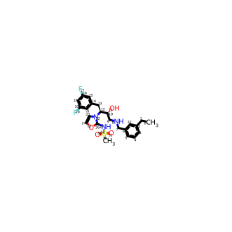 CCc1cccc(CNC[C@@H](O)[C@H](Cc2cc(F)cc(F)c2)N2C=COC2NS(C)(=O)=O)c1